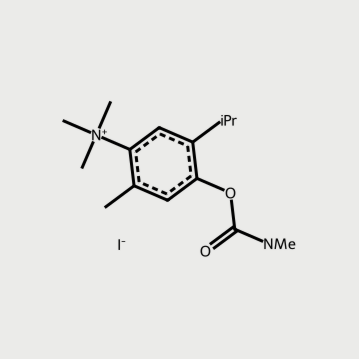 CNC(=O)Oc1cc(C)c([N+](C)(C)C)cc1C(C)C.[I-]